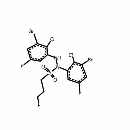 O=S(=O)(CCCF)N(Nc1cc(F)cc(Br)c1Cl)c1cc(F)cc(Br)c1Cl